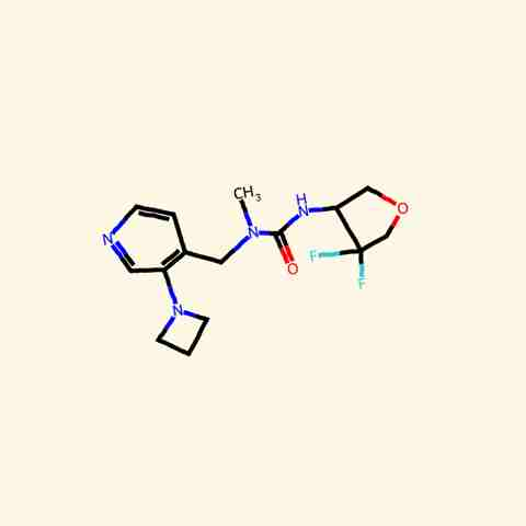 CN(Cc1ccncc1N1CCC1)C(=O)NC1COCC1(F)F